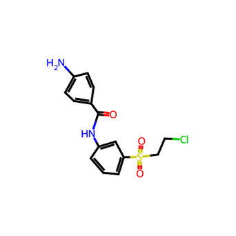 Nc1ccc(C(=O)Nc2cccc(S(=O)(=O)CCCl)c2)cc1